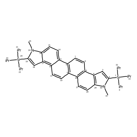 CC(C)[Si](c1cc2c3ccc4c(ccc5c4ccc4c5cc([Si](C(C)C)(C(C)C)C(C)C)n4C)c3ccc2n1C)(C(C)C)C(C)C